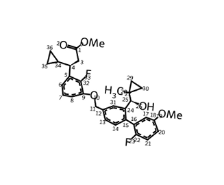 COC(=O)C[C@@H](c1cccc(OCc2ccc(-c3cc(OC)ccc3F)c([C@H](O)C3(C)CC3)c2)c1F)C1CC1